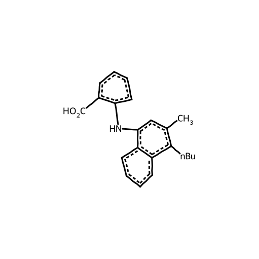 CCCCc1c(C)cc(Nc2ccccc2C(=O)O)c2ccccc12